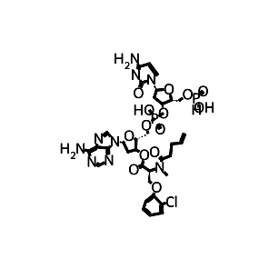 C=CCCC(=O)N(C)[C@@H](COc1ccccc1Cl)C(=O)OC1C[C@H](n2cnc3c(N)ncnc32)O[C@@H]1COP(=O)(O)O[C@H]1C[C@H](n2ccc(N)nc2=O)O[C@@H]1CO[PH](=O)O